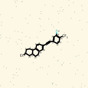 CCC1CCC2c3ccc(C#Cc4ccc(C(F)(F)F)c(F)c4)cc3CCC2C1